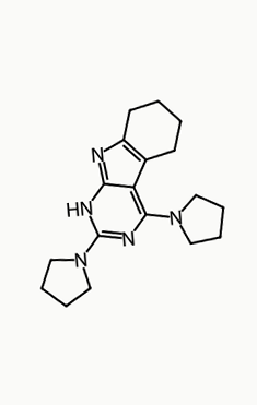 C1CCc2c(nc3[nH]c(N4CCCC4)nc(N4CCCC4)c2-3)C1